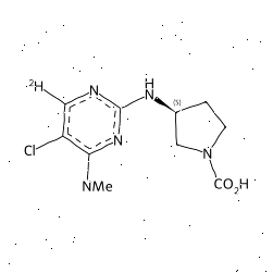 [2H]c1nc(N[C@H]2CCN(C(=O)O)C2)nc(NC)c1Cl